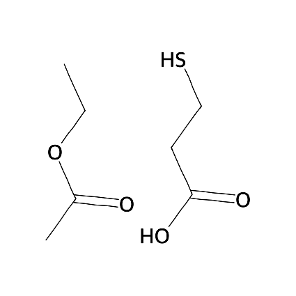 CCOC(C)=O.O=C(O)CCS